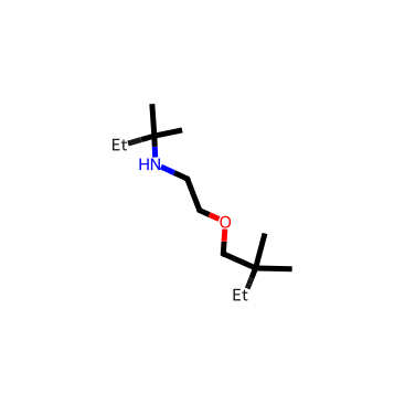 CCC(C)(C)COCCNC(C)(C)CC